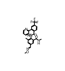 CNC(=O)c1cc(C=NOC)cc(C)c1NC(=O)c1ccc(C(F)(F)F)cc1-c1ncccc1Cl